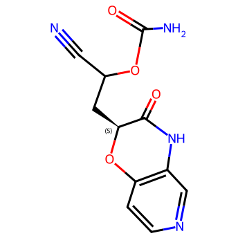 N#CC(C[C@@H]1Oc2ccncc2NC1=O)OC(N)=O